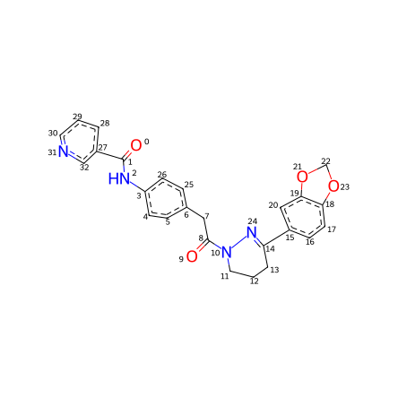 O=C(Nc1ccc(CC(=O)N2CCCC(c3ccc4c(c3)OCO4)=N2)cc1)c1cccnc1